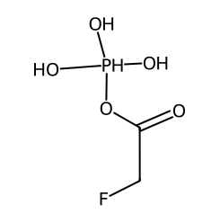 O=C(CF)O[PH](O)(O)O